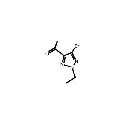 CCn1nc(Br)c(C(C)=O)n1